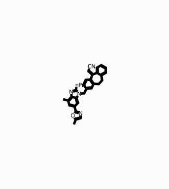 CCCc1nc2c(C)cc(-c3ncc(C)o3)cc2n1Cc1ccc2c(c1)CCc1ccccc1C2=CC#N